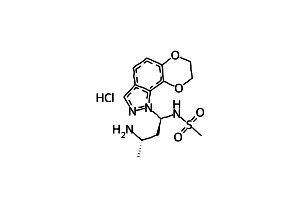 C[C@H](N)C[C@H](NS(C)(=O)=O)n1ncc2ccc3c(c21)OCCO3.Cl